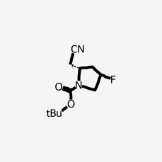 CC(C)(C)OC(=O)N1CC(F)C[C@H]1CC#N